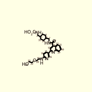 O=C(O)NCC1CCC(CNC(=O)c2cc(-c3ccc(NCCOCCO)nc3)nc3ccccc23)CC1